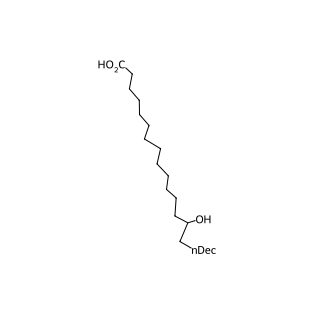 CCCCCCCCCCCC(O)CCCCCCCCCCCCC(=O)O